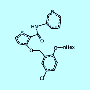 CCCCCCOc1ccc(Cl)cc1COc1ccsc1C(=O)Nc1cccnc1